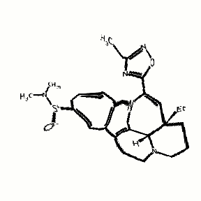 CC[C@@]12C=C(c3nc(C)no3)n3c4c(c5cc([S+]([O-])N(C)C)ccc53)CCN(CCC1)[C@H]42